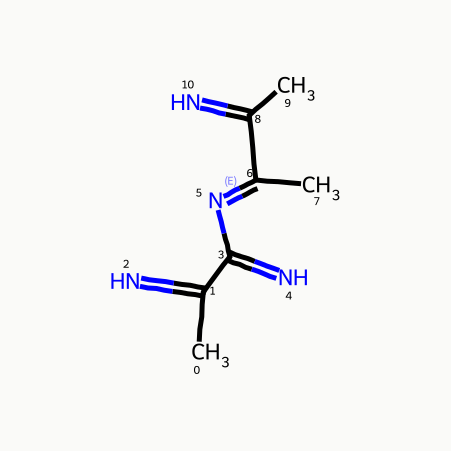 CC(=N)C(=N)/N=C(\C)C(C)=N